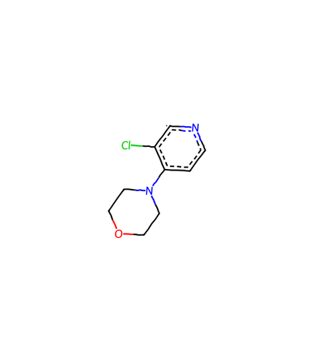 Clc1[c]nccc1N1CCOCC1